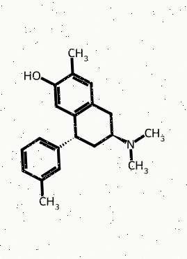 Cc1cccc([C@H]2C[C@H](N(C)C)Cc3cc(C)c(O)cc32)c1